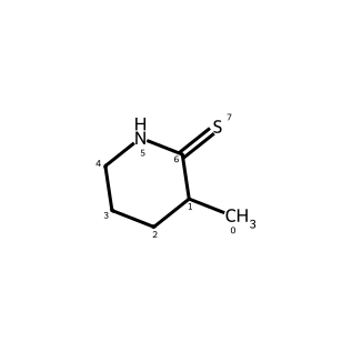 CC1CCCNC1=S